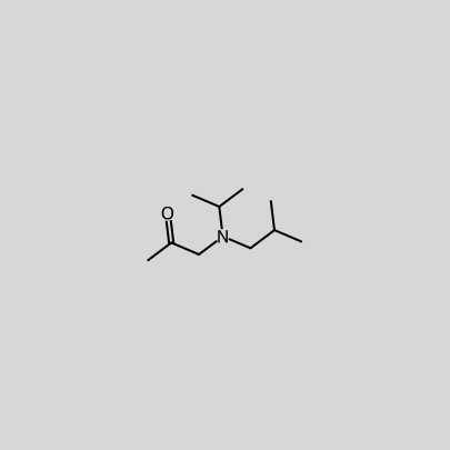 CC(=O)CN(CC(C)C)C(C)C